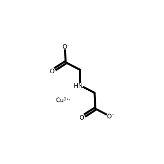 O=C([O-])CNCC(=O)[O-].[Cu+2]